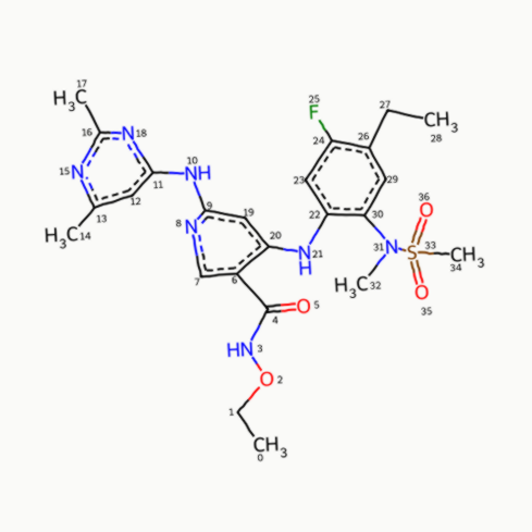 CCONC(=O)c1cnc(Nc2cc(C)nc(C)n2)cc1Nc1cc(F)c(CC)cc1N(C)S(C)(=O)=O